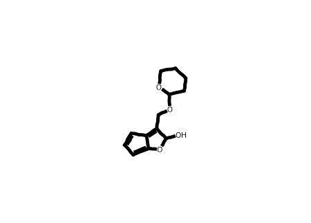 OC1OC2=CC=CC2=C1COC1CCCCO1